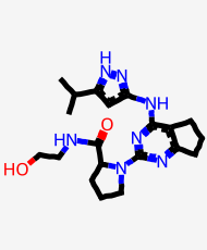 CC(C)c1cc(Nc2nc(N3CCCC3C(=O)NCCO)nc3c2CCC3)n[nH]1